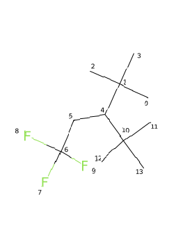 CC(C)(C)C(CC(F)(F)F)C(C)(C)C